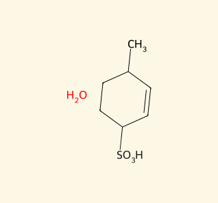 CC1C=CC(S(=O)(=O)O)CC1.O